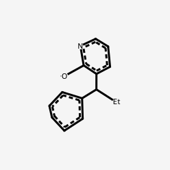 CCC(c1ccccc1)c1cccnc1[O]